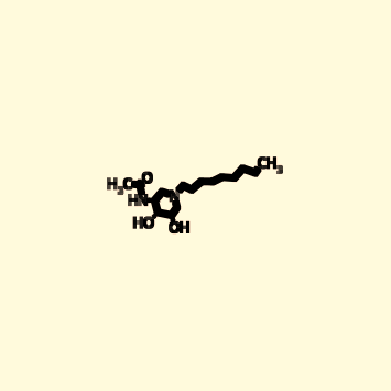 CCCCCCCCCN1C[C@@H](O)[C@H](O)[C@@H](NC(C)=O)C1